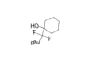 CC(C)(C)C(F)(F)C1(O)CCCCC1